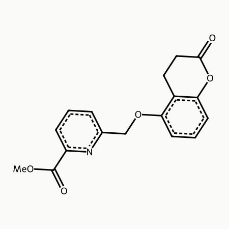 COC(=O)c1cccc(COc2cccc3c2CCC(=O)O3)n1